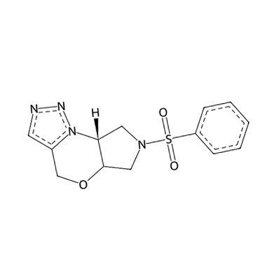 O=S(=O)(c1ccccc1)N1CC2OCc3cnnn3[C@@H]2C1